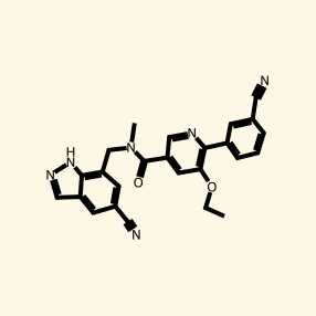 CCOc1cc(C(=O)N(C)Cc2cc(C#N)cc3cn[nH]c23)cnc1-c1cccc(C#N)c1